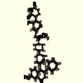 CN(Cc1ccc(C2CCC(=O)NC2=O)c(F)c1)C1CCN(c2ccc(C3c4ccc(O)cc4OCC3c3ccccc3)cc2)CC1